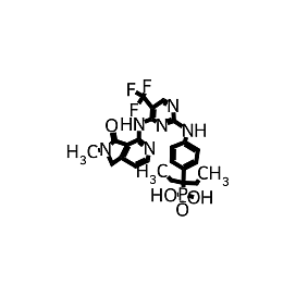 CCC(CC)(c1ccc(Nc2ncc(C(F)(F)F)c(Nc3nccc4c3C(=O)N(C)C4)n2)cc1)P(=O)(O)O